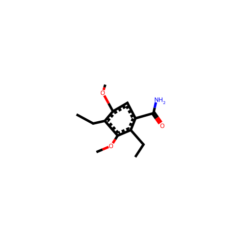 CCc1c(OC)cc(C(N)=O)c(CC)c1OC